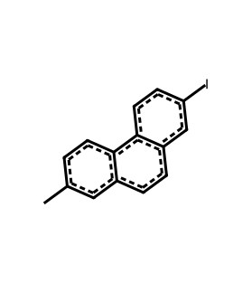 Cc1ccc2c(ccc3cc(I)ccc32)c1